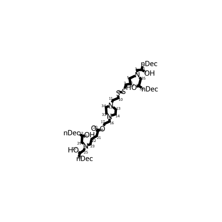 CCCCCCCCCCC(O)CN(CCCSSCCN1CCN(CCOC(=O)CCCN(CC(O)CCCCCCCCCC)CC(O)CCCCCCCCCC)CC1)CC(O)CCCCCCCCCC